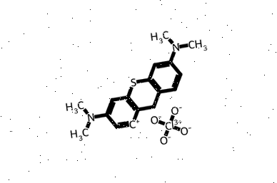 CN(C)C1=CC2=C([C+]=C1)Cc1ccc(N(C)C)cc1S2.[O-][Cl+3]([O-])([O-])[O-]